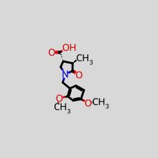 COc1ccc(CN2C[C@H](C(=O)O)[C@@H](C)C2=O)c(OC)c1